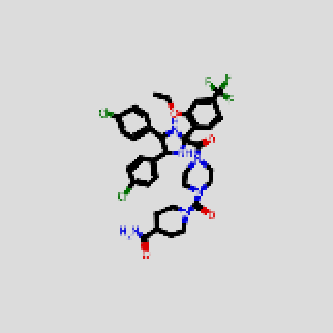 CCOc1cc(C(F)(F)F)ccc1C1(C(=O)N2CCN(C(=O)N3CCC(C(N)=O)CC3)CC2)NC(c2ccc(Cl)cc2)C(c2ccc(Cl)cc2)N1